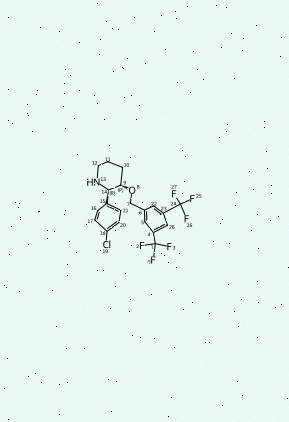 FC(F)(F)c1cc(CO[C@@H]2CCCN[C@@H]2c2ccc(Cl)cc2)cc(C(F)(F)F)c1